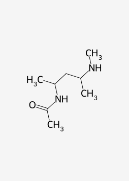 CNC(C)CC(C)NC(C)=O